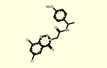 COc1ccc(C(C)NC(=O)Cn2nnc3c(Cl)cc(Cl)cc3c2=O)cc1